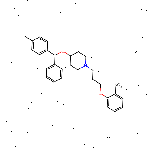 Cc1ccc(C(OC2CCN(CCCOc3ccccc3[N+](=O)[O-])CC2)c2ccccc2)cc1